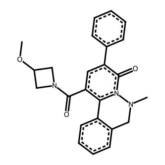 COC1CN(C(=O)c2cc(-c3ccccc3)c(=O)n3c2-c2ccccc2CN3C)C1